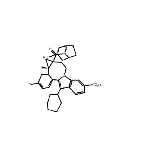 CN1CC2CCC(C1)N2C(=O)[C@@]12CCn3c(c(C4CCCCC4)c4ccc(C(=O)O)cc43)C3=CC=C(F)CC3[C@@H]1C2